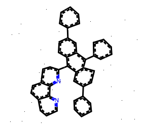 c1ccc(-c2ccc3c(-c4ccc5ccc6cccnc6c5n4)c4cc(-c5ccccc5)ccc4c(-c4ccccc4)c3c2)cc1